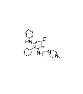 Cc1nc2c(cc1N1CCN(C)CC1)c(=O)cc(Nc1ccccc1)n2-c1ccccc1